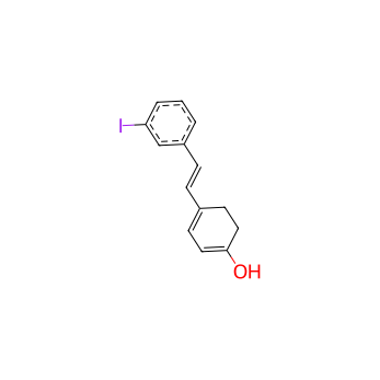 OC1=CC=C(/C=C/c2cccc(I)c2)CC1